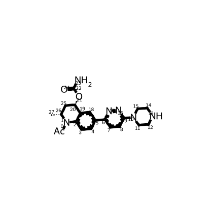 CC(=O)N1c2ccc(-c3ccc(N4CCNCC4)nn3)cc2[C@@H](OC(N)=O)C[C@H]1C